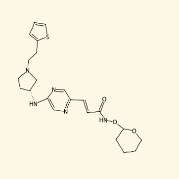 O=C(/C=C/c1cnc(N[C@@H]2CCN(CCc3cccs3)C2)cn1)NOC1CCCCO1